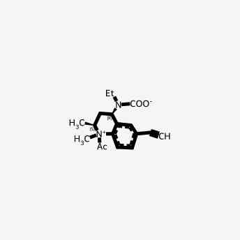 C#Cc1ccc2c(c1)[C@H](N(CC)C(=O)[O-])C[C@H](C)[N+]2(C)C(C)=O